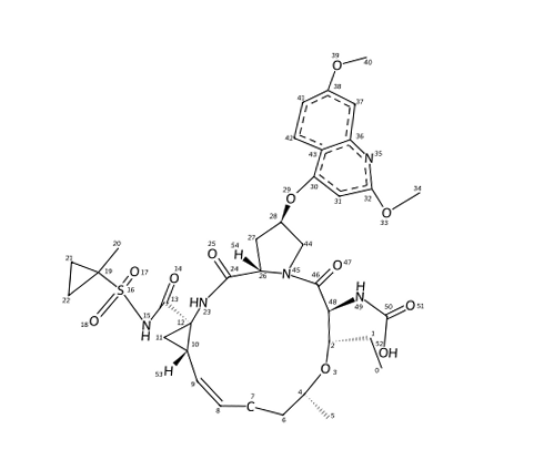 CC[C@@H]1O[C@H](C)CCC=C[C@@H]2C[C@@]2(C(=O)NS(=O)(=O)C2(C)CC2)NC(=O)[C@@H]2C[C@@H](Oc3cc(OC)nc4cc(OC)ccc34)CN2C(=O)[C@H]1NC(=O)O